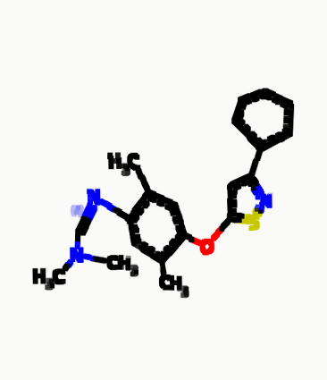 Cc1cc(Oc2cc(-c3ccccc3)ns2)c(C)cc1/N=C\N(C)C